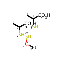 CC(S)C(=O)O.CC(S)C(=O)O.CCOS